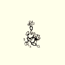 Cc1c(C(=O)Nc2ccc(S(C)(=O)=O)cc2)cc(CC(C)F)n1-c1ccc(Cl)cc1C(F)(F)F